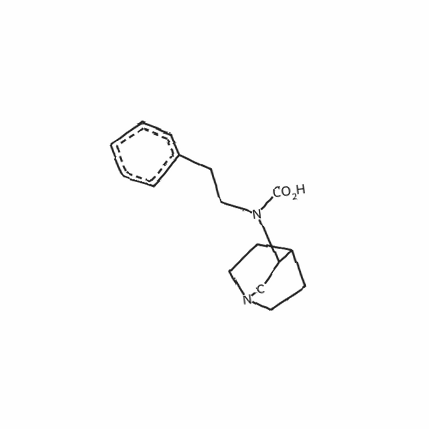 O=C(O)N(CCc1ccccc1)C1CN2CCC1CC2